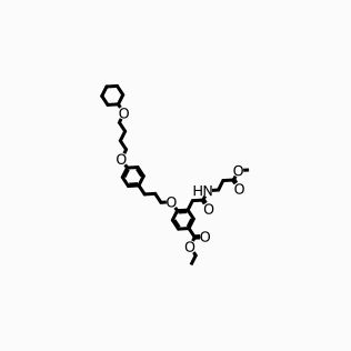 CCOC(=O)c1ccc(OCCCc2ccc(OCCCCOC3CCCCC3)cc2)c(CC(=O)NCCC(=O)OC)c1